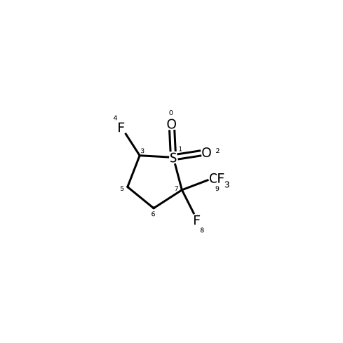 O=S1(=O)C(F)CCC1(F)C(F)(F)F